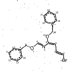 Br/C=C/C=C(\N=C\OCc1ccccc1)OCc1ccccc1